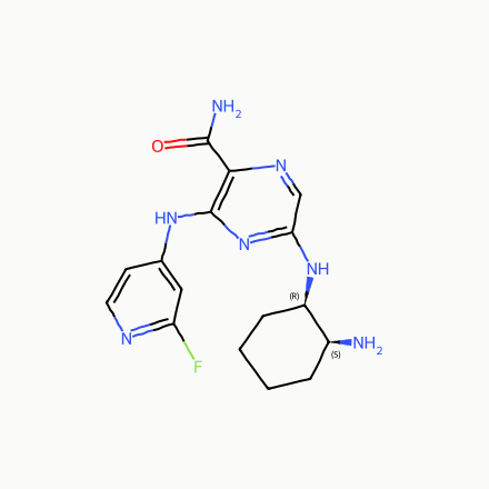 NC(=O)c1ncc(N[C@@H]2CCCC[C@@H]2N)nc1Nc1ccnc(F)c1